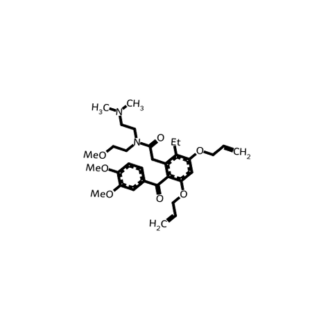 C=CCOc1cc(OCC=C)c(C(=O)c2ccc(OC)c(OC)c2)c(CC(=O)N(CCOC)CCN(C)C)c1CC